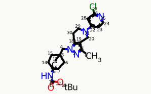 Cc1nn(CC23CCC(NC(=O)OC(C)(C)C)(CC2)CC3)c2c1CN(c1ccnc(Cl)c1)CC2